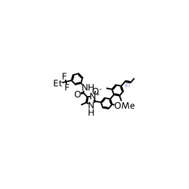 C/C=C/c1cc(C)c(-c2cc(-c3[nH]c(C)c(C(=O)Nc4cccc(C(F)(F)CC)c4)[n+]3[O-])ccc2OC)c(C)c1